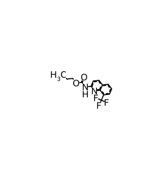 CCCOC(=O)Nc1ccc2cccc(C(F)(F)F)c2n1